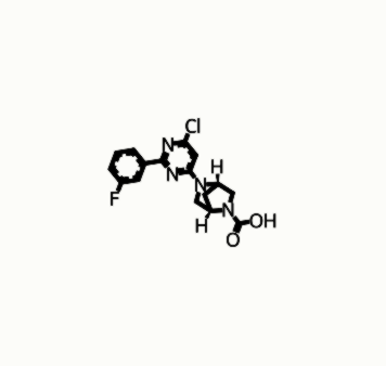 O=C(O)N1C[C@@H]2C[C@H]1CN2c1cc(Cl)nc(-c2cccc(F)c2)n1